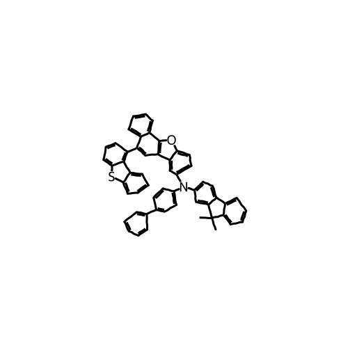 CC1(C)c2ccccc2-c2ccc(N(c3ccc(-c4ccccc4)cc3)c3ccc4oc5c6ccccc6c(-c6cccc7sc8ccccc8c67)cc5c4c3)cc21